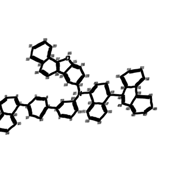 c1cc(-c2ccc(-c3cccc4ccccc34)cc2)cc(N(c2ccc3oc4c5ccccc5ccc4c3c2)c2ccc(-c3cc4ccccc4c4ccccc34)c3ccccc23)c1